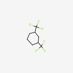 FC(F)(F)C1[CH]CCC(C(F)(F)F)C1